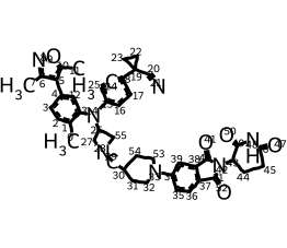 Cc1ccc(-c2c(C)noc2C)cc1N(c1ccc(C2(C#N)CC2)cc1)C1CN(CC2CCN(c3ccc4c(c3)C(=O)N(C3CCC(=O)NC3=O)C4=O)CC2)C1